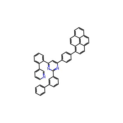 c1ccc(-c2cccc(-c3nc(-c4ccc(-c5ccc6ccc7cccc8ccc5c6c78)cc4)cc(-c4ccccc4-c4cccnc4)n3)c2)cc1